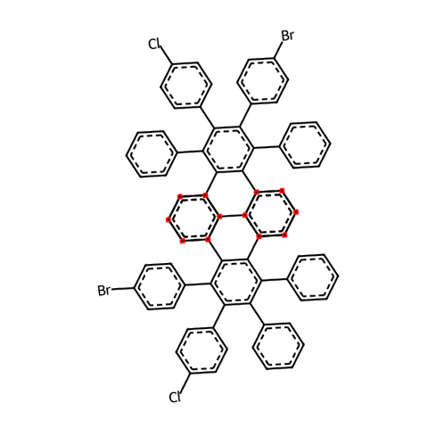 Clc1ccc(-c2c(-c3ccccc3)c(-c3ccccc3)c(-c3ccccc3-c3ccccc3-c3c(-c4ccccc4)c(-c4ccccc4)c(-c4ccc(Br)cc4)c(-c4ccc(Cl)cc4)c3-c3ccccc3)c(-c3ccccc3)c2-c2ccc(Br)cc2)cc1